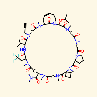 C#CCN1CC(=O)N(C)C2CC=CCCN(C2=O)C(OC(C)C)C(=O)N(C)CC(=O)NCC(=O)N2CCCC2C(=O)N(C)C2(CCC2)C(=O)N(C)CC(=O)N(C)C(C(=O)N(C)C)CC(=O)N(C)C(CC(F)(F)F)C(=O)NC(C(C)C)C1=O